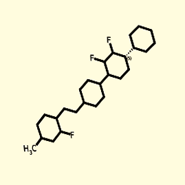 CC1CCC(CCC2CCC(C3CC[C@@H](C4CCCCC4)C(F)C3F)CC2)C(F)C1